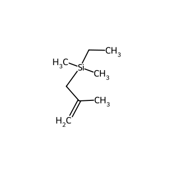 C=C(C)C[Si](C)(C)CC